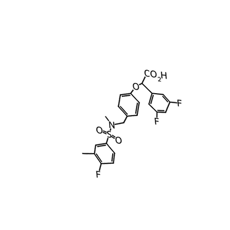 Cc1cc(S(=O)(=O)N(C)Cc2ccc(OC(C(=O)O)c3cc(F)cc(F)c3)cc2)ccc1F